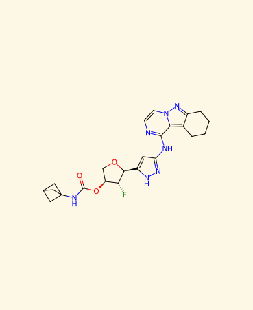 O=C(NC12CC(C1)C2)O[C@H]1CO[C@@H](c2cc(Nc3nccn4nc5c(c34)CCCC5)n[nH]2)[C@@H]1F